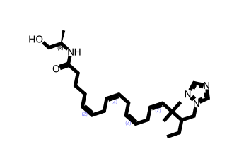 CCC(Cn1cncn1)C(C)(C)/C=C\C/C=C\C/C=C\C/C=C\CCCC(=O)N[C@H](C)CO